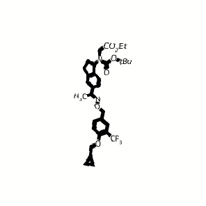 CCOC(=O)CN(C(=O)OC(C)(C)C)C1CCc2cc(/C(C)=N/OCc3ccc(OCC4CC4)c(C(F)(F)F)c3)ccc21